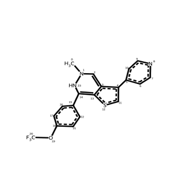 CN1C=c2c(-c3ccncc3)csc2=C(c2ccc(OC(F)(F)F)cc2)N1